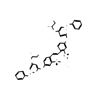 C[C@@H](CO)NC1=CN(Nc2ccccc2)SC(Nc2ccc(C=Cc3ccc(NC4=CC(N[C@@H](C)CO)=CN(Nc5ccccc5)S4)cc3S(=O)(=O)[O-])c(S(=O)(=O)[O-])c2)=C1.[Na+].[Na+]